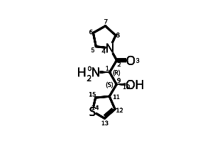 N[C@@H](C(=O)N1CCCC1)[C@@H](O)C1C=CSC1